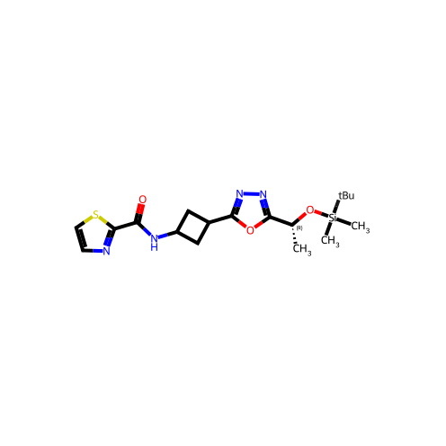 C[C@@H](O[Si](C)(C)C(C)(C)C)c1nnc(C2CC(NC(=O)c3nccs3)C2)o1